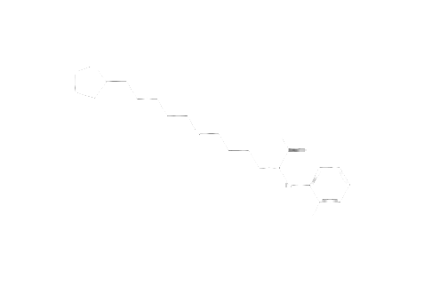 O=C(O)C(CCCCNCCCCCC1CCSS1)Nc1ccccc1O